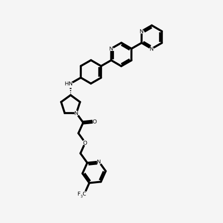 O=C(COCc1cc(C(F)(F)F)ccn1)N1CC[C@H](NC2CC=C(c3ccc(-c4ncccn4)cn3)CC2)C1